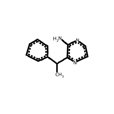 CC(c1ccccc1)c1nccnc1N